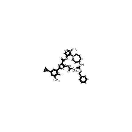 Cc1cc(C2CC2)cc(-c2nc(C(=O)Nc3cnn(C)c3N3CCC[C@@H](NC(=O)OCc4ccccc4)CC3)c(NC(=O)OC(C)(C)C)s2)c1F